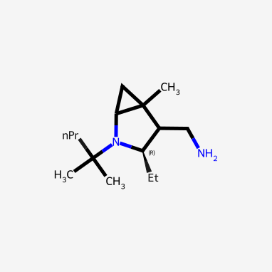 CCCC(C)(C)N1C2CC2(C)C(CN)[C@H]1CC